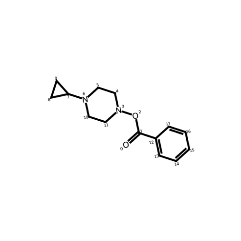 O=C(ON1CCN(C2CC2)CC1)c1ccccc1